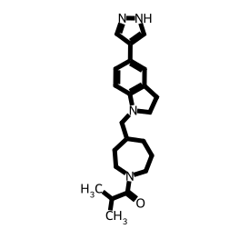 CC(C)C(=O)N1CCCC(CN2CCc3cc(-c4cn[nH]c4)ccc32)CC1